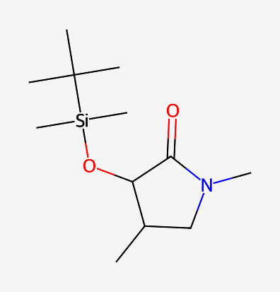 CC1CN(C)C(=O)C1O[Si](C)(C)C(C)(C)C